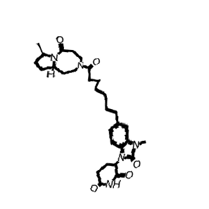 C[C@@H]1CC[C@@H]2CCN(C(=O)CCCCCCc3ccc4c(c3)n(C)c(=O)n4C3CCC(=O)NC3=O)CCC(=O)N21